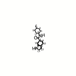 CC1CCC(NC(=O)c2ccc3cc[nH]c3c2)CC1